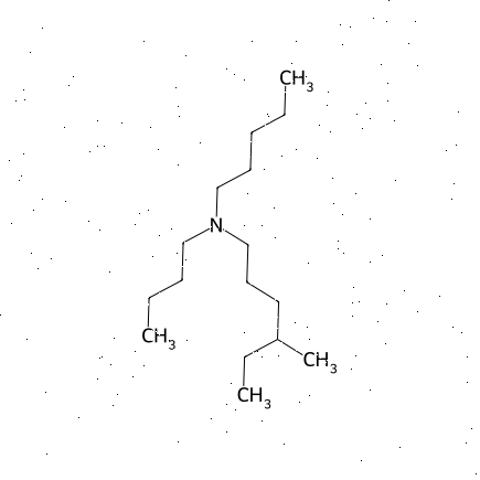 CCCCCN(CCCC)CCCC(C)CC